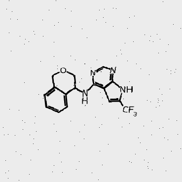 FC(F)(F)c1cc2c(NC3COCc4ccccc43)ncnc2[nH]1